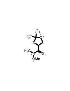 CON(C)C(=O)C1COC(C)(C)O1